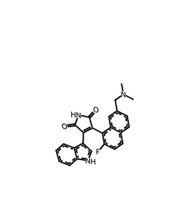 CN(C)Cc1ccc2ccc(F)c(C3=C(c4c[nH]c5ccccc45)C(=O)NC3=O)c2c1